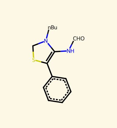 CCCCN1CSC(c2ccccc2)=C1NC=O